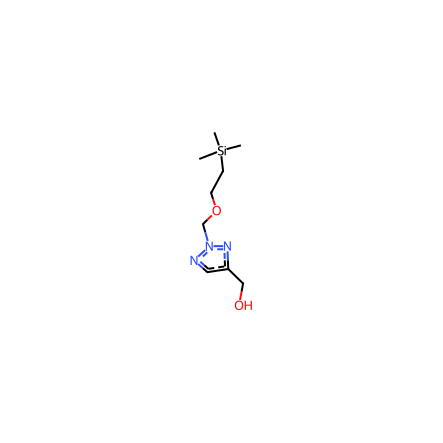 C[Si](C)(C)CCOCn1ncc(CO)n1